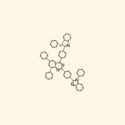 c1ccc(-c2cc(-c3ccccc3)c3nc(-c4ccc(-c5nc6ccccc6n5-c5ccccc5)cc4)nc(-c4ccc(C5=Nc6ccccc6[C@H]5c5ccccc5)cc4)c3c2)cc1